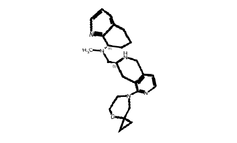 CN(C[C@@H]1Cc2c(ccnc2N2CCOC3(CC3)C2)CN1)[C@H]1CCCc2cccnc21